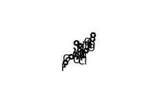 CCCCN(C(=O)c1nn(-c2ccc(C(=O)NS(=O)(=O)c3ccc4ccccc4c3)cc2C(=O)N2CCc3ccccc3C2)c(C)c1Cl)c1ccc(Oc2ccc(F)cc2)cc1